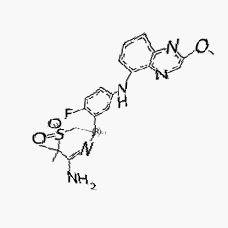 COc1cnc2c(Nc3ccc(F)c([C@]4(C)CS(=O)(=O)C(C)(C)C(N)=N4)c3)cccc2n1